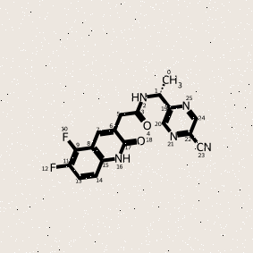 C[C@@H](NC(=O)Cc1cc2c(F)c(F)ccc2[nH]c1=O)c1cnc(C#N)cn1